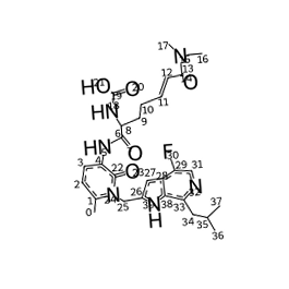 Cc1ccc(NC(=O)C(CC/C=C/C(=O)N(C)C)NC(=O)O)c(=O)n1Cc1cc2c(F)cnc(CC(C)C)c2[nH]1